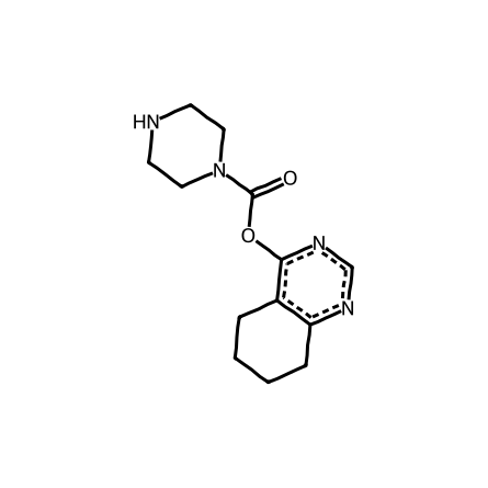 O=C(Oc1ncnc2c1CCCC2)N1CCNCC1